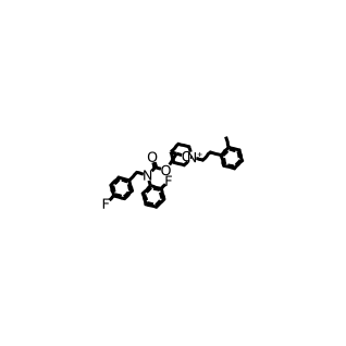 Cc1ccccc1CC[N+]12CCC(CC1)C(OC(=O)N(Cc1ccc(F)cc1)c1ccccc1F)C2